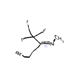 C/N=C(/CBr)C(F)(F)F